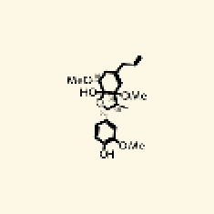 C=CCC1=C[C@]2(OC)[C@@H](C)[C@H](c3ccc(O)c(OC)c3)OC2(O)[C@H](OC)C1